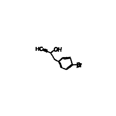 C#CC(O)Cc1ccc(Br)cc1